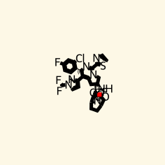 O=S(=O)(N[C@H]1CC2=C(c3ccn(C(F)F)n3)[C@H](c3ccc(F)cc3Cl)N=C(c3nccs3)N2C1)N1C2CCC1CC(F)(F)C2